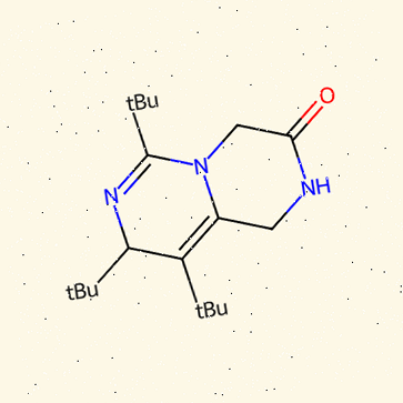 CC(C)(C)C1=NC(C(C)(C)C)C(C(C)(C)C)=C2CNC(=O)CN12